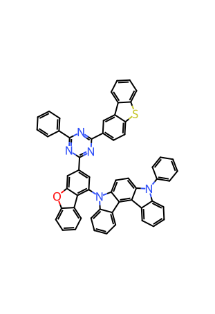 c1ccc(-c2nc(-c3cc(-n4c5ccccc5c5c6c7ccccc7n(-c7ccccc7)c6ccc54)c4c(c3)oc3ccccc34)nc(-c3ccc4sc5ccccc5c4c3)n2)cc1